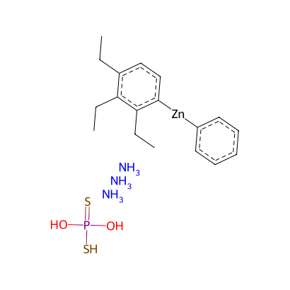 CCc1cc[c]([Zn][c]2ccccc2)c(CC)c1CC.N.N.N.OP(O)(=S)S